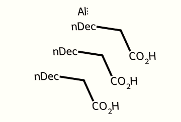 CCCCCCCCCCCC(=O)O.CCCCCCCCCCCC(=O)O.CCCCCCCCCCCC(=O)O.[Al]